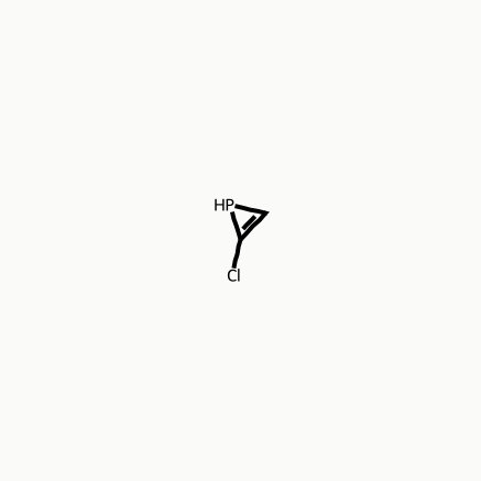 ClC1=CP1